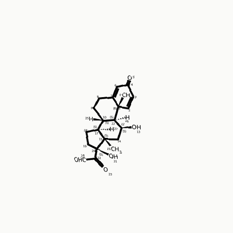 C[C@]12C=CC(=O)C=C1CC[C@@H]1[C@@H]2[C@@H](O)C[C@@]2(C)[C@H]1CC[C@@]2(O)C(=O)C=O